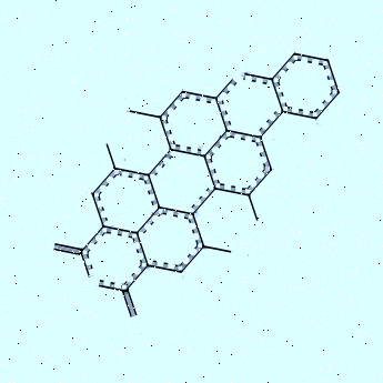 O=c1oc(=O)c2cc(Cl)c3c4c(Cl)cc5c6ccccc6[nH]c6cc(Cl)c(c7c(Cl)cc1c2c73)c4c65